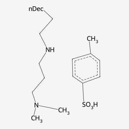 CCCCCCCCCCCCNCCCN(C)C.Cc1ccc(S(=O)(=O)O)cc1